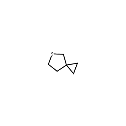 C1CC2(CC2)CS1